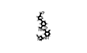 Cc1ccc(Nc2cnn(C)c2)cc1C(=O)NC(C)c1cccc(-c2ccc(C=O)s2)c1